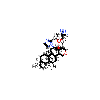 CCOC(=O)c1nccn1[C@@H]1C[C@@]23COC[C@@](C)([C@@H]2CC[C@H]2C3=CC[C@@]3(C)[C@H](C(=O)O)[C@@](C)([C@H](C)C(C)C)CC[C@]23C)[C@H]1OC[C@](C)(N)C(C)C